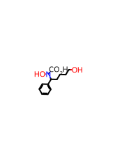 O=C(O)N(O)C(CCCCO)c1ccccc1